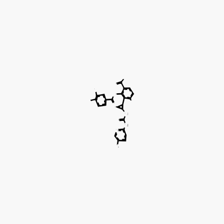 CCC(=O)c1ccc(F)c(C2CC2NC(=O)Nc2ccc(Br)cn2)c1OC(=O)c1ccc(C)c(N)c1